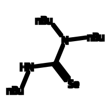 CCCCNC(=[Se])N(CCCC)CCCC